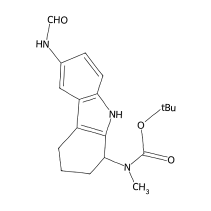 CN(C(=O)OC(C)(C)C)C1CCCc2c1[nH]c1ccc(NC=O)cc21